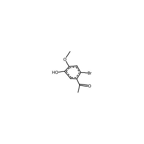 COc1cc(Br)c(C(C)=O)cc1O